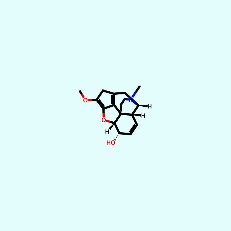 COC1=C2O[C@H]3[C@@H](O)C=C[C@H]4[C@H]5CC(=C2[C@]43CCN5C)C1